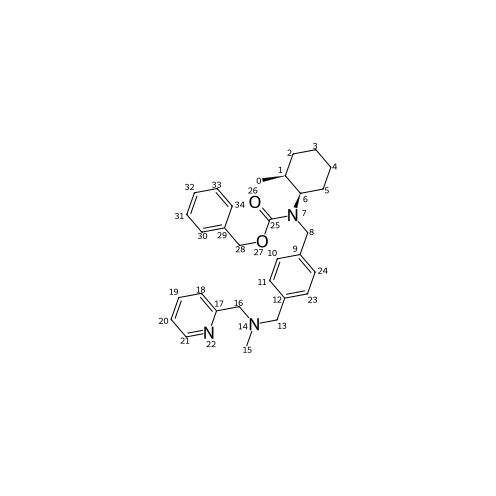 C[C@H]1CCCC[C@H]1N(Cc1ccc(CN(C)Cc2ccccn2)cc1)C(=O)OCc1ccccc1